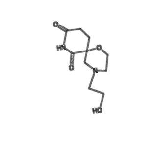 O=C1CCC2(CN(CCO)CCO2)C(=O)N1